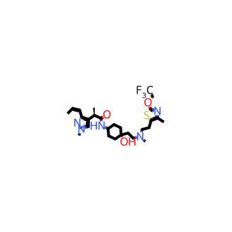 C/C=C\c1nn(C)cc1[C@@H](C)C(=O)NC1CCC(O)(CCN(C)CCc2sc(OCC(F)(F)F)nc2C)CC1